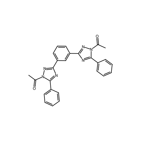 CC(=O)n1nc(-c2cccc(-c3nc(-c4ccccc4)n(C(C)=O)n3)c2)nc1-c1ccccc1